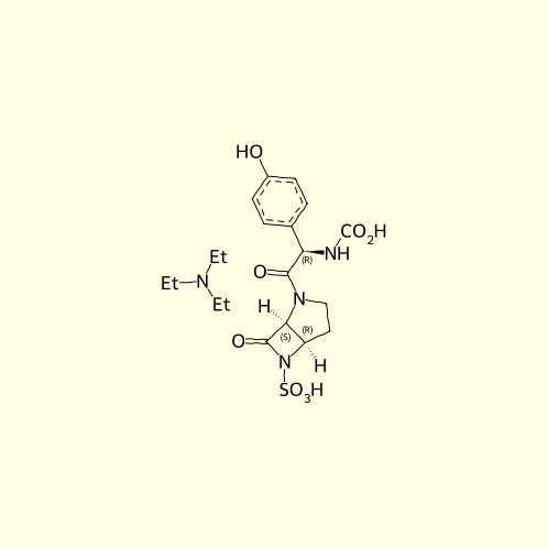 CCN(CC)CC.O=C(O)N[C@@H](C(=O)N1CC[C@@H]2[C@H]1C(=O)N2S(=O)(=O)O)c1ccc(O)cc1